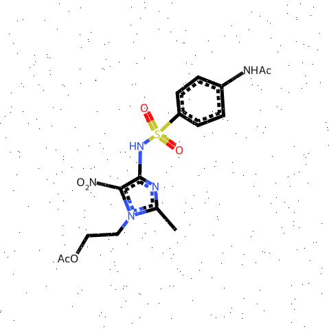 CC(=O)Nc1ccc(S(=O)(=O)Nc2nc(C)n(CCOC(C)=O)c2[N+](=O)[O-])cc1